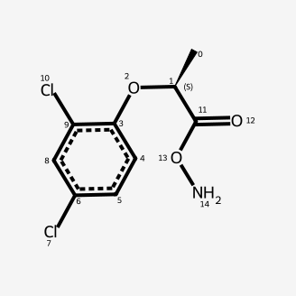 C[C@H](Oc1ccc(Cl)cc1Cl)C(=O)ON